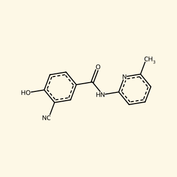 Cc1cccc(NC(=O)c2ccc(O)c(C#N)c2)n1